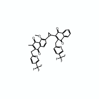 COc1c(C2CC2C2=C(Cc3ccc(C(F)(F)F)cn3)C(=O)c3ccccc3C2=O)ccc2c1C(=O)C(C)=C(Cc1ccc(C(F)(F)F)cn1)C2=O